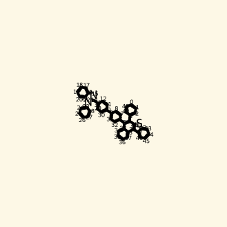 c1ccc(-c2c(-c3ccc(-c4ccc(-c5nc6ccccc6n5-c5ccccc5)cc4)cc3)c3ccccc3c3c2sc2ccccc23)cc1